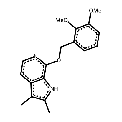 COc1cccc(COc2nccc3c(C)c(C)[nH]c23)c1OC